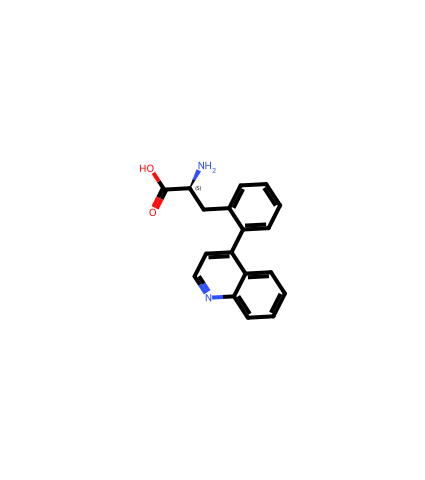 N[C@@H](Cc1ccccc1-c1ccnc2ccccc12)C(=O)O